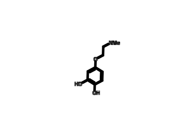 CNCCOc1ccc(O)c(O)c1